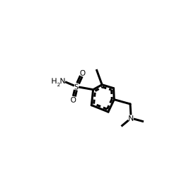 Cc1cc(CN(C)C)ccc1S(N)(=O)=O